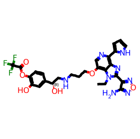 CCn1c(-c2nonc2N)nc2c(-c3ccc[nH]3)ncc(OCCCNC[C@H](O)c3ccc(OC(=O)C(F)(F)F)c(O)c3)c21